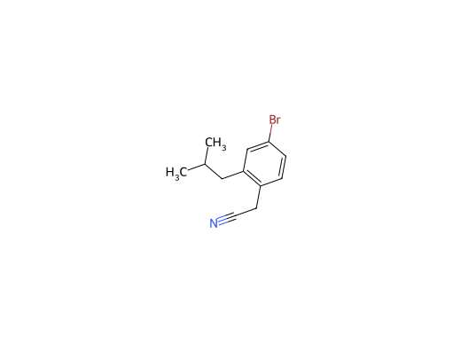 CC(C)Cc1cc(Br)ccc1CC#N